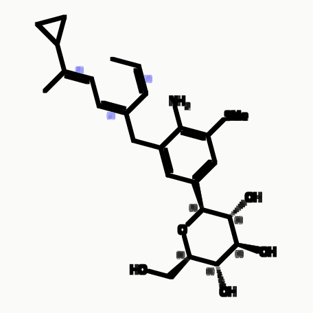 C\C=C/C(=C\C=C(/C)C1CC1)Cc1cc([C@@H]2O[C@H](CO)[C@@H](O)[C@H](O)[C@H]2O)cc(SC)c1N